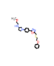 COCCNC1CCN(c2ccc(-c3nnc(CSCCOc4ccccc4)o3)cc2)C1